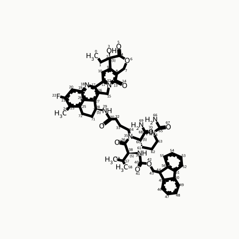 CC[C@@]1(O)C(=O)OCc2c1cc1n(c2=O)Cc2c-1nc1cc(F)c(C)c3c1c2[C@@H](NC(=O)CCCN(C(=O)[C@@H](NC(=O)OCC1c2ccccc2-c2ccccc21)C(C)C)[C@@H](CCCNC(N)=O)C(N)=O)CC3